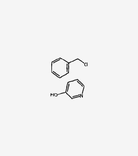 ClCc1ccccc1.Oc1cccnc1